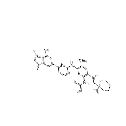 C=CC(=O)Nc1cc(Nc2nccc(-c3cc(C#N)c4c(c3)c(C)cn4C)n2)c(OC)cc1N(C)CC1(N(C)C)CCCCC1